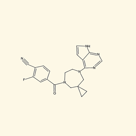 N#Cc1ccc(C(=O)N2CCN(c3ncnc4[nH]ccc34)CC3(CC3)C2)cc1F